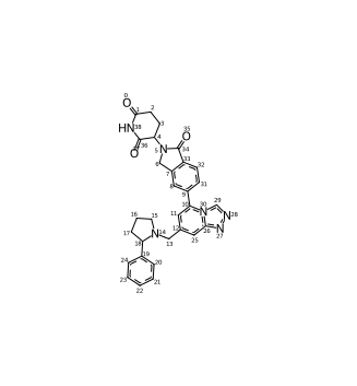 O=C1CCC(N2Cc3cc(-c4cc(CN5CCCC5c5ccccc5)cc5nncn45)ccc3C2=O)C(=O)N1